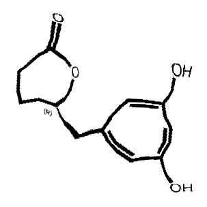 O=C1CC[C@H](Cc2cc(O)cc(O)c2)O1